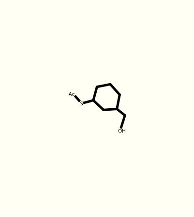 CC(=O)SC1CCCC(CO)C1